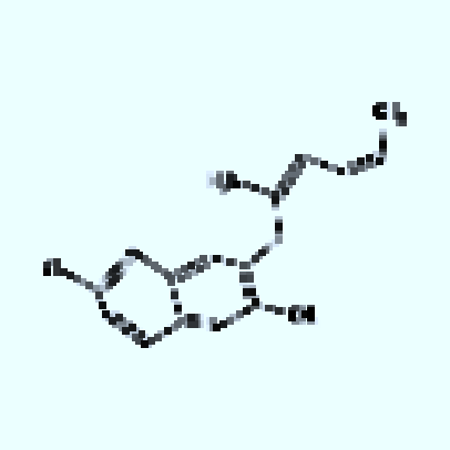 C/C=C\C=C(\N)Cc1cc2cc(Cl)ccc2cc1C